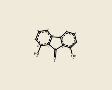 O=C1c2c(O)cccc2-c2cccc(O)c21